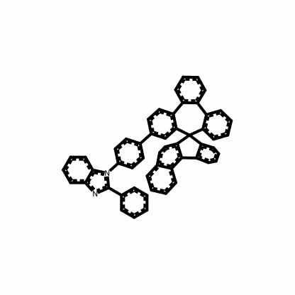 c1ccc(-c2nc3ccccc3n2-c2ccc(-c3ccc4c(c3)C3(c5ccccc5-c5ccccc5-4)c4ccccc4-c4c3ccc3ccccc43)cc2)cc1